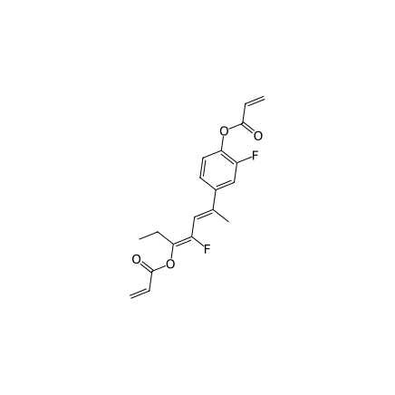 C=CC(=O)O/C(CC)=C(F)/C=C(\C)c1ccc(OC(=O)C=C)c(F)c1